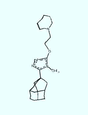 Cn1c(OCCN2CCCCC2)nnc1C12CC3CC4CC1C43C2